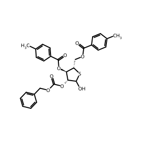 Cc1ccc(C(=O)OC[C@@H]2SC(O)[C@H](OC(=O)OCc3ccccc3)[C@H]2OC(=O)c2ccc(C)cc2)cc1